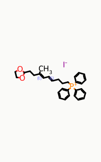 C/C(=C\C=C\CCC[P+](c1ccccc1)(c1ccccc1)c1ccccc1)CCC1OCCO1.[I-]